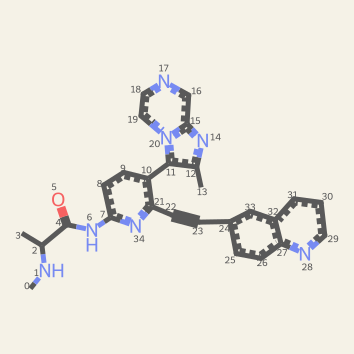 CNC(C)C(=O)Nc1ccc(-c2c(C)nc3cnccn23)c(C#Cc2ccc3ncccc3c2)n1